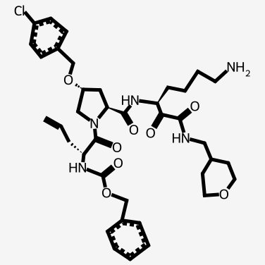 C=CC[C@@H](NC(=O)OCc1ccccc1)C(=O)N1C[C@H](OCc2ccc(Cl)cc2)C[C@H]1C(=O)N[C@@H](CCCCN)C(=O)C(=O)NCC1CCOCC1